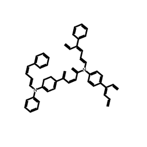 C=C/C=C(\C=C)c1ccc(N(/C=C/C=C(\C=C)c2ccccc2)C(=C)/C=C\C(=C)C2=CC=C(N(/C=C/C=C\c3ccccc3)c3ccccc3)CC2)cc1